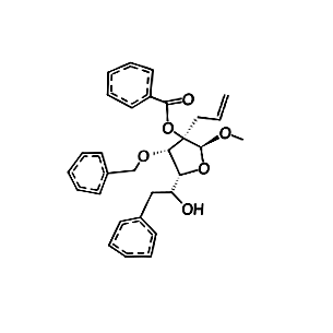 C=CC[C@]1(OC(=O)c2ccccc2)[C@@H](OC)O[C@H](C(O)Cc2ccccc2)[C@@H]1OCc1ccccc1